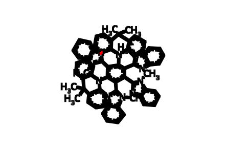 Cn1c(-c2c(-c3nc4ccccc4n3C)c(N3c4ccccc4C(C)(C)c4ccccc43)c(-c3nc4ccccc4n3C)c(N3c4ccccc4C(C)(C)c4ccccc43)c2-c2nc3ccccc3n2C)nc2ccccc21